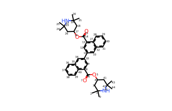 CC1(C)CC(OC(=O)c2cc(-c3cc(C(=O)OC4CC(C)(C)NC(C)(C)C4)c4ccccc4c3)cc3ccccc23)CC(C)(C)N1